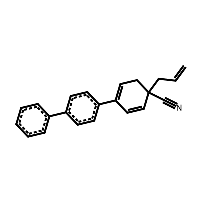 C=CCC1(C#N)C=CC(c2ccc(-c3ccccc3)cc2)=CC1